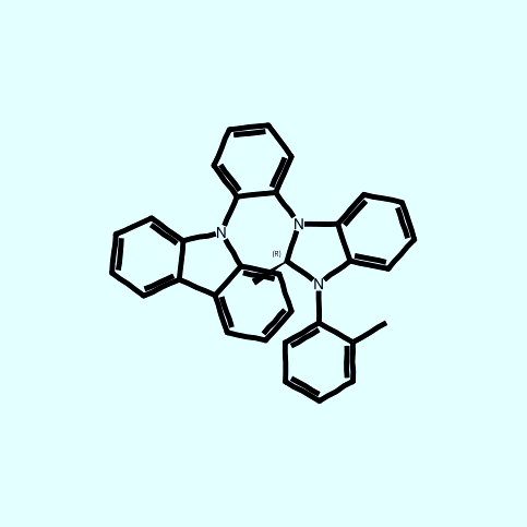 Cc1ccccc1N1c2ccccc2N(c2ccccc2-n2c3ccccc3c3ccccc32)[C@@H]1C